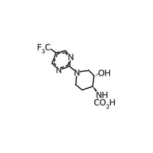 O=C(O)N[C@H]1CCN(c2ncc(C(F)(F)F)cn2)C[C@@H]1O